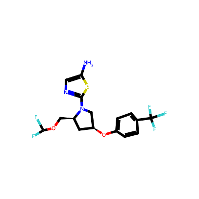 Nc1cnc(N2C[C@@H](Oc3ccc(C(F)(F)F)cc3)C[C@H]2COC(F)F)s1